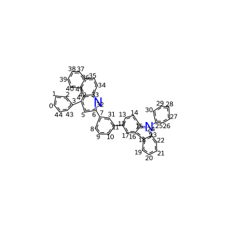 c1ccc(-c2cc(-c3cccc(-c4ccc5c(c4)c4ccccc4n5-c4ccccc4)c3)nc3ccc4ccccc4c23)cc1